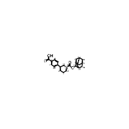 O=C(O)c1ccc(C2CCCN(C(=O)OC3C4CC5CC(C4)CC3C5)C2)cc1